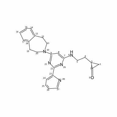 O=C1CC1CCNc1cc(N2CCc3ccccc3CC2)nc(-c2ccccn2)n1